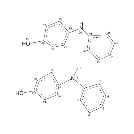 CN(c1ccccc1)c1ccc(O)cc1.Oc1ccc(Nc2ccccc2)cc1